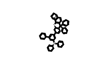 C1=CC2SC1c1ccc3c(c12)Sc1cc(-c2cc(-c4ccccc4)cc(N(c4ccccc4)c4ccccc4)c2)ccc1C3(c1ccccc1)c1ccccc1